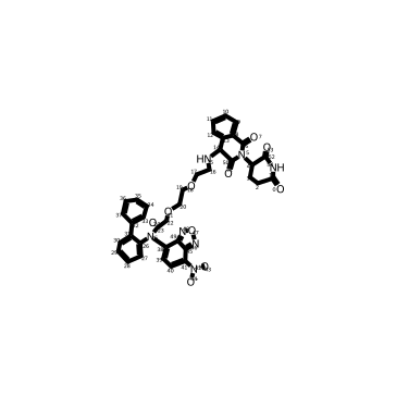 O=C1CCC(N2C(=O)c3ccccc3C(NCCOCCOCC(=O)N(c3ccccc3-c3ccccc3)c3ccc([N+](=O)[O-])c4nonc34)C2=O)C(=O)N1